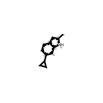 Cc1cc2ccc(C3CC3)cc2[nH]1